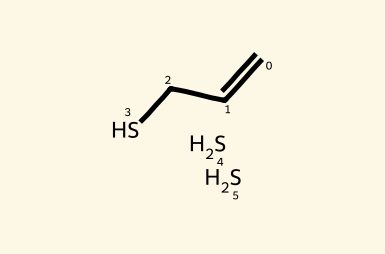 C=CCS.S.S